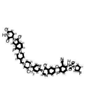 C[C@H]1CN(CC2CCN(c3ccc4c(c3F)CN([C@@H]3CCC(=O)NC3=O)C4=O)CC2)CCN1c1ccc(-n2cnc3ccc(Oc4c(F)ccc(NS(=O)(=O)N5CC[C@@H](F)C5)c4C#N)cc3c2=O)nc1